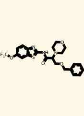 O=C(Nc1nc2ccc(OC(F)(F)F)cc2s1)C(COCc1ccccc1)N1CCOCC1